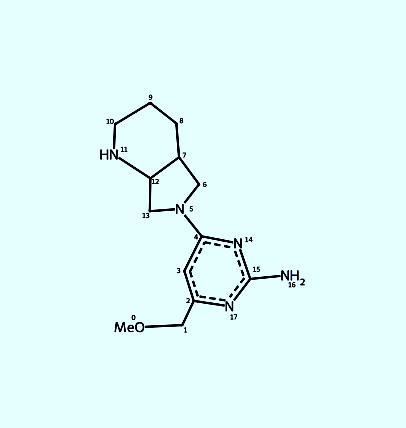 COCc1cc(N2CC3CCCNC3C2)nc(N)n1